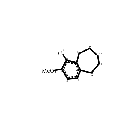 COc1ccc2c(c1Cl)CCCCC2